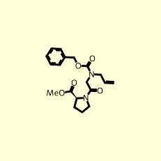 C=CCN(CC(=O)N1CCC[C@H]1C(=O)OC)C(=O)OCc1ccccc1